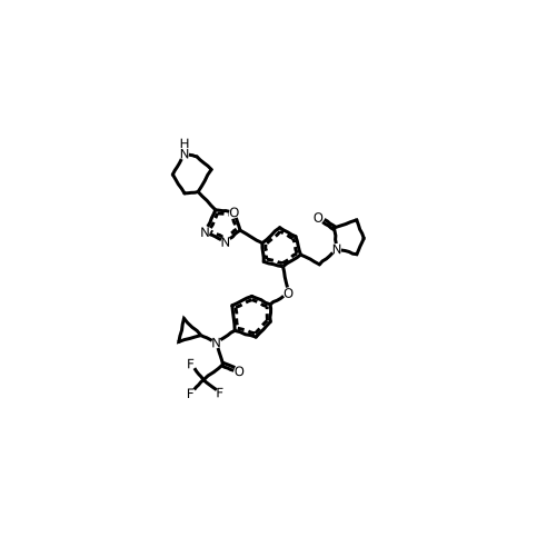 O=C1CCCN1Cc1ccc(-c2nnc(C3CCNCC3)o2)cc1Oc1ccc(N(C(=O)C(F)(F)F)C2CC2)cc1